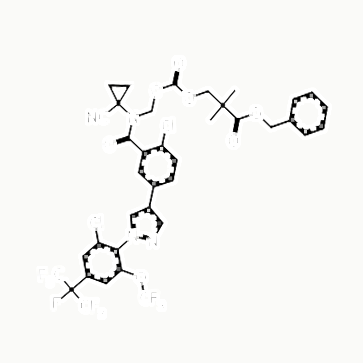 CC(C)(COC(=O)OCN(C(=O)c1cc(-c2cnn(-c3c(Cl)cc(C(F)(C(F)(F)F)C(F)(F)F)cc3OC(F)(F)F)c2)ccc1Cl)C1(C#N)CC1)C(=O)OCc1ccccc1